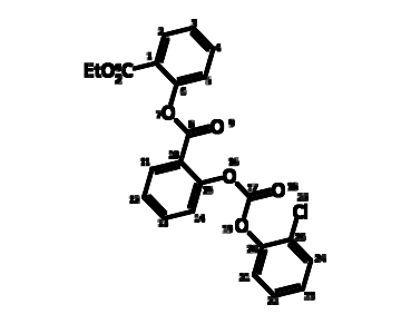 CCOC(=O)c1ccccc1OC(=O)c1ccccc1OC(=O)Oc1ccccc1Cl